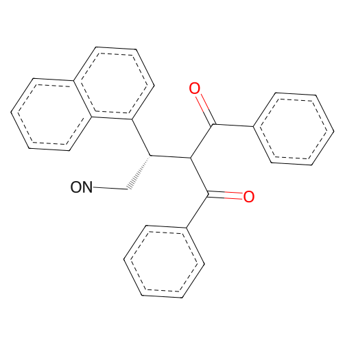 O=NC[C@H](c1cccc2ccccc12)C(C(=O)c1ccccc1)C(=O)c1ccccc1